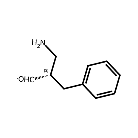 NC[C@@H]([C]=O)Cc1ccccc1